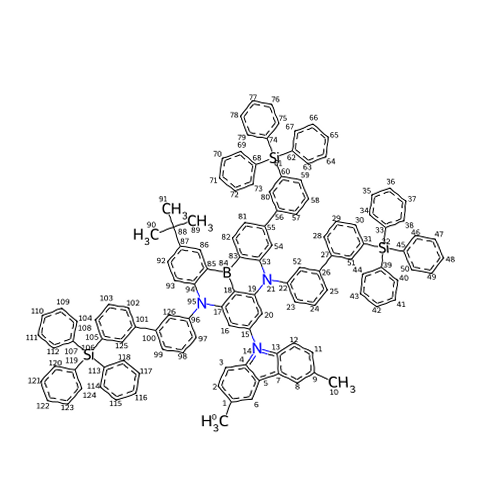 Cc1ccc2c(c1)c1cc(C)ccc1n2-c1cc2c3c(c1)N(c1cccc(-c4cccc([Si](c5ccccc5)(c5ccccc5)c5ccccc5)c4)c1)c1cc(-c4cccc([Si](c5ccccc5)(c5ccccc5)c5ccccc5)c4)ccc1B3c1cc(C(C)(C)C)ccc1N2c1cccc(-c2cccc([Si](c3ccccc3)(c3ccccc3)c3ccccc3)c2)c1